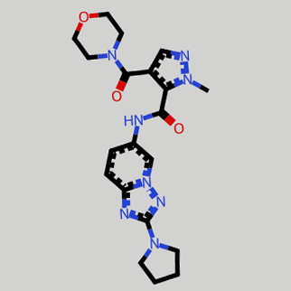 Cn1ncc(C(=O)N2CCOCC2)c1C(=O)Nc1ccc2nc(N3CCCC3)nn2c1